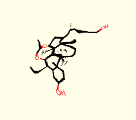 CC[C@@H]1C2C[C@H](O)CCC2(C)[C@H]2CCC3(C)C([C@H](C)CCCO)CC[C@H]3[C@@H]2[C@@H]1OC(C)=O